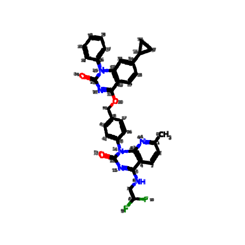 Cc1ccc2c(NCC(F)F)nc(=O)n(-c3ccc(COc4nc(=O)n(-c5ccccc5)c5cc(C6CC6)ccc45)cc3)c2n1